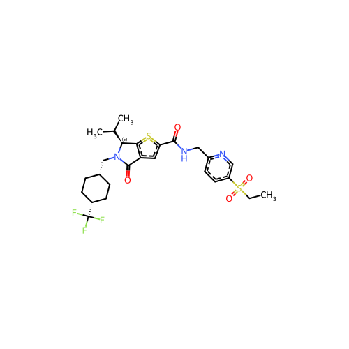 CCS(=O)(=O)c1ccc(CNC(=O)c2cc3c(s2)[C@H](C(C)C)N(C[C@H]2CC[C@@H](C(F)(F)F)CC2)C3=O)nc1